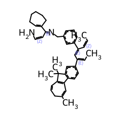 C\C=C/C(=C\C(=C/C)c1ccc2c(c1)C(C)(C)C1=C2C=C(C)CC=C1)c1cccc(C/N=C(\C=C/N)C2=CCCCCC2)c1